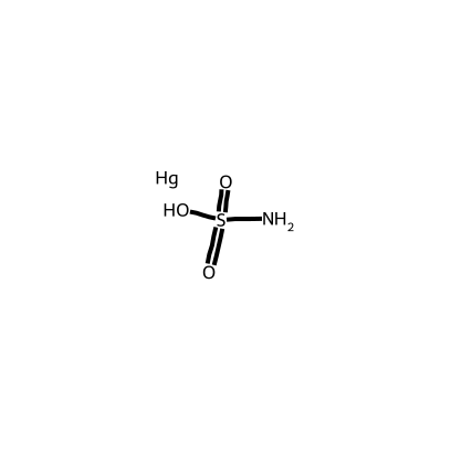 NS(=O)(=O)O.[Hg]